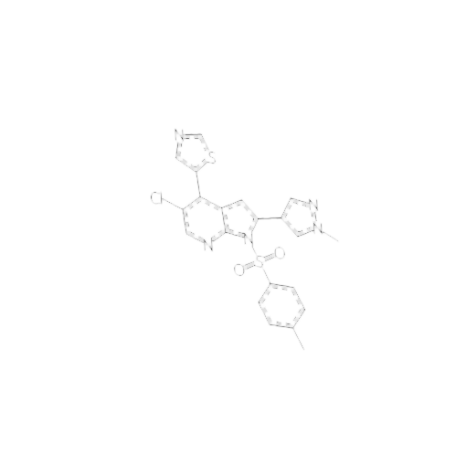 Cc1ccc(S(=O)(=O)n2c(-c3cnn(C)c3)cc3c(-c4cncs4)c(Cl)cnc32)cc1